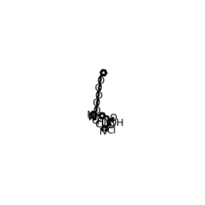 Cn1ncc(OCCOCCOCCOCCOCc2ccccc2)c(-c2ccc(CC(NC(=O)c3c(Cl)cncc3Cl)C(=O)O)cc2)c1=O